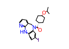 CC(C)O[C@H]1CC[C@H](C(=O)N2Cc3cccnc3Nc3ccc(I)cc32)CC1